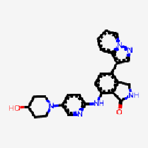 O=C1NCc2c(-c3cnn4ccccc34)ccc(Nc3ccc(N4CCC(O)CC4)cn3)c21